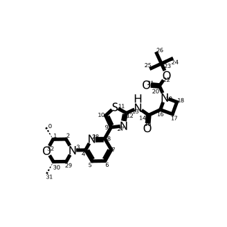 C[C@@H]1CN(c2cccc(-c3csc(NC(=O)C4CCN4C(=O)OC(C)(C)C)n3)n2)C[C@H](C)O1